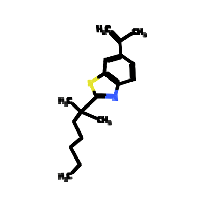 C=C(C)c1ccc2nc(C(C)(C)CCCCC)sc2c1